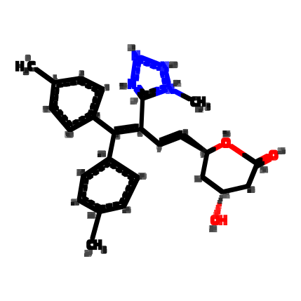 Cc1ccc(C(=C(C=C[C@@H]2C[C@@H](O)CC(=O)O2)c2nnnn2C)c2ccc(C)cc2)cc1